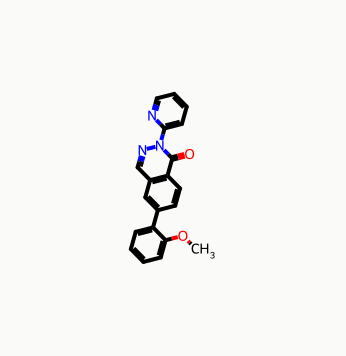 COc1ccccc1-c1ccc2c(=O)n(-c3ccccn3)ncc2c1